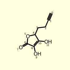 C#CCCC1OC(=O)C(O)=C1O